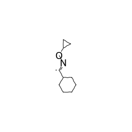 [C](=N\OC1CC1)/C1CCCCC1